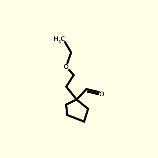 CCOCCC1(C=O)CCCC1